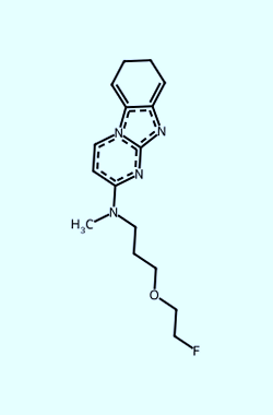 CN(CCCOCCF)c1ccn2c3c(nc2n1)=CCCC=3